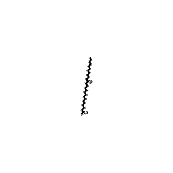 CCCCCCCCCCCC(=O)CCCCCCCCCCCCCC(C)=O